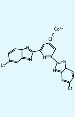 CCC1=CC2=NC(c3cccc(C4=NC5C=CC(CC)=CC5=N4)n3)=NC2C=C1.[Cl-].[Cl-].[Co+2]